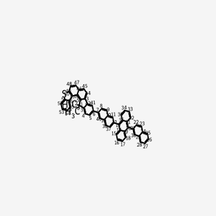 CC1(C)c2ccc(-c3ccc4cc(-c5c6ccccc6c(-c6ccc7ccccc7c6)c6ccccc56)ccc4c3)cc2-c2ccc3ccc4sc5ccccc5c4c3c21